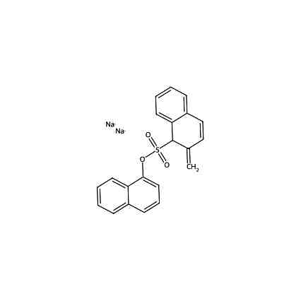 C=C1C=Cc2ccccc2C1S(=O)(=O)Oc1cccc2ccccc12.[Na].[Na]